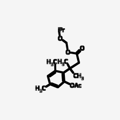 CC(=O)Oc1cc(C)cc(C)c1C(C)(C)CC(=O)OCOC(C)C